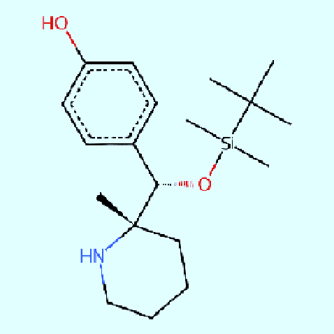 CC(C)(C)[Si](C)(C)O[C@@H](c1ccc(O)cc1)[C@]1(C)CCCCN1